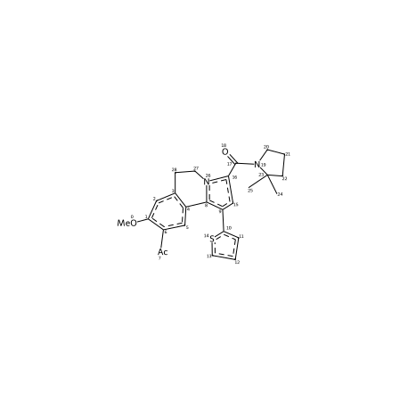 COc1cc2c(cc1C(C)=O)-c1c(-c3cccs3)cc(C(=O)N3CCCC3(C)C)n1CC2